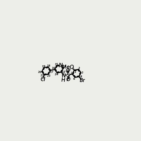 COc1ccc(Br)cc1S(=O)(=O)Nc1cncc(-c2cccc(Cl)c2)c1